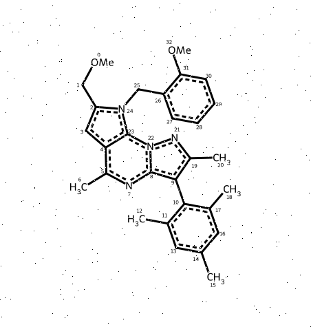 COCc1cc2c(C)nc3c(-c4c(C)cc(C)cc4C)c(C)nn3c2n1Cc1ccccc1OC